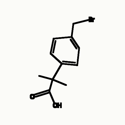 CC(C)(C(=O)O)c1ccc(CBr)cc1